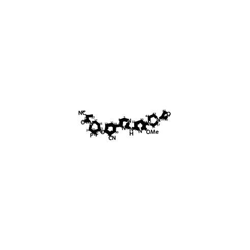 COc1nc(Nc2nccc(-c3ccc(OC4CCN(C(=O)[C@@H](C)C#N)CC4(F)F)c(C#N)c3)n2)ccc1N1CCN(C2COC2)CC1